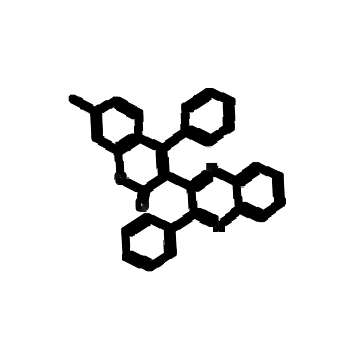 Cc1ccc2c(-c3ccccc3)c(-c3nc4ccccc4nc3-c3ccccc3)c(=O)oc2c1